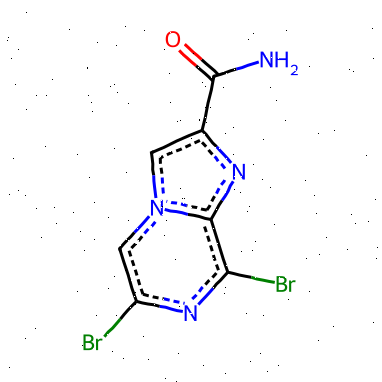 NC(=O)c1cn2cc(Br)nc(Br)c2n1